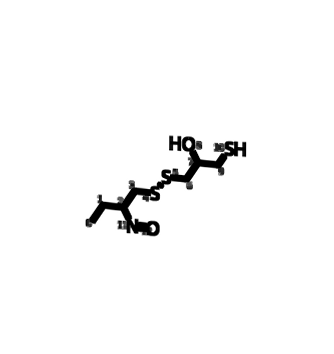 CCC(CSSCC(O)CS)N=O